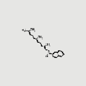 CC(C)=CCC/C(C)=C/CC/C(C)=C/C[S+]([O-])c1ccc2ccccc2c1